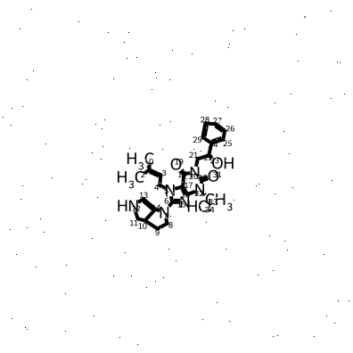 CC(C)=CCn1c(N2CCC3CNC=C32)nc2c1c(=O)n(CC(O)c1ccccc1)c(=O)n2C.Cl